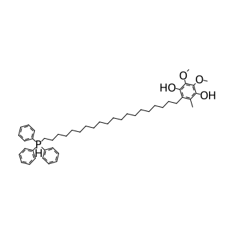 COc1c(O)c(C)c(CCCCCCCCCCCCCCCCCCCC[PH](c2ccccc2)(c2ccccc2)c2ccccc2)c(O)c1OC